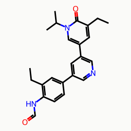 CCc1cc(-c2cncc(-c3cc(CC)c(=O)n(C(C)C)c3)c2)ccc1NC=O